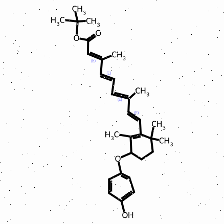 CC1=C(/C=C/C(C)=C/C=C/C(C)=C/C(=O)OC(C)(C)C)C(C)(C)CCC1Oc1ccc(O)cc1